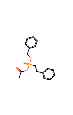 CC(=O)OP(=O)(CCc1ccccc1)OCc1ccccc1